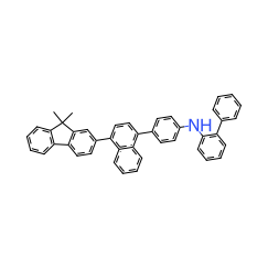 CC1(C)c2ccccc2-c2ccc(-c3ccc(-c4ccc(Nc5ccccc5-c5ccccc5)cc4)c4ccccc34)cc21